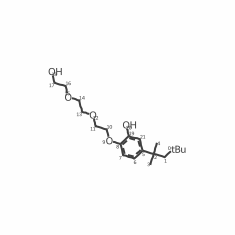 CC(C)(C)CC(C)(C)c1ccc(OCCOCCOCCO)c(O)c1